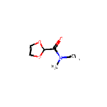 CN(C)C(=O)C1OCCO1